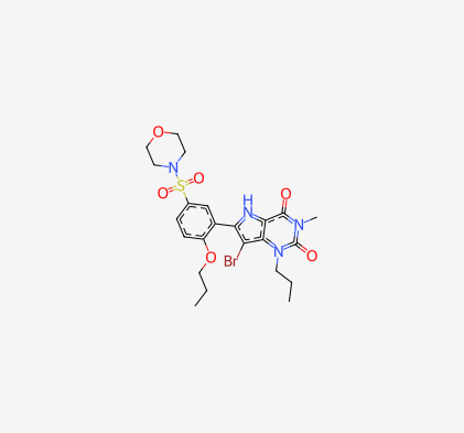 CCCOc1ccc(S(=O)(=O)N2CCOCC2)cc1-c1[nH]c2c(=O)n(C)c(=O)n(CCC)c2c1Br